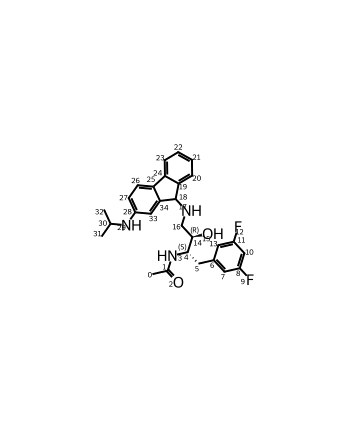 CC(=O)N[C@@H](Cc1cc(F)cc(F)c1)[C@H](O)CNC1c2ccccc2-c2ccc(NC(C)C)cc21